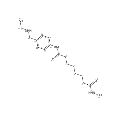 O=C(CCCCCCC(=O)Nc1ccc(CNSS)cc1)NO